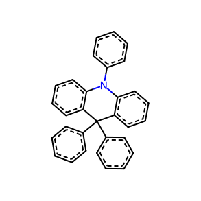 c1ccc(N2c3ccccc3C(c3ccccc3)(c3ccccc3)c3ccccc32)cc1